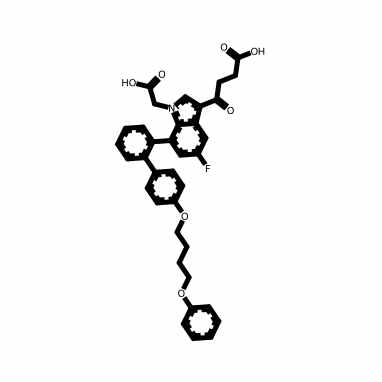 O=C(O)CCC(=O)c1cn(CC(=O)O)c2c(-c3ccccc3-c3ccc(OCCCCOc4ccccc4)cc3)cc(F)cc12